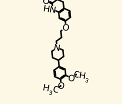 COc1ccc(C2CCN(CCCOc3ccc4c(c3)NC(=O)CC4)CC2)cc1OC